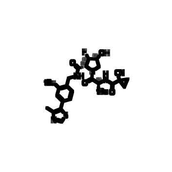 Cc1ncsc1-c1ccc(CNC(=O)[C@@H]2[C@@H](F)[C@@H](O)CN2C(=O)[C@@H](NC(=O)C2(C#N)CC2)C(C)(C)C)c(C(C)(C)C)c1